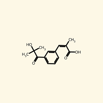 CC(=Cc1cccc(C(=O)C(C)(C)O)c1)C(=O)O